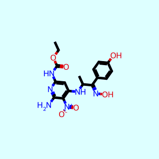 CCOC(=O)Nc1cc(NC(C)C(=NO)c2ccc(O)cc2)c([N+](=O)[O-])c(N)n1